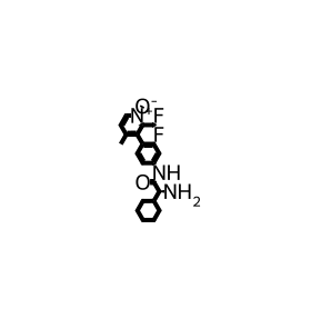 Cc1cc[n+]([O-])c(C(F)F)c1-c1ccc(NC(=O)[C@@H](N)C2CCCCC2)cc1